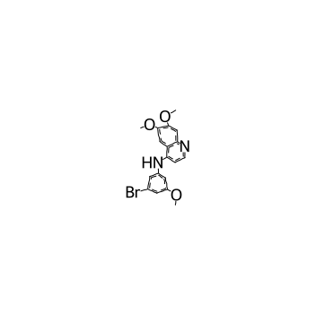 COc1cc(Br)cc(Nc2ccnc3cc(OC)c(OC)cc23)c1